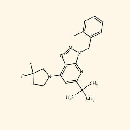 CC(C)(C)c1cc(N2CCC(F)(F)C2)c2nnn(Cc3ccccc3I)c2n1